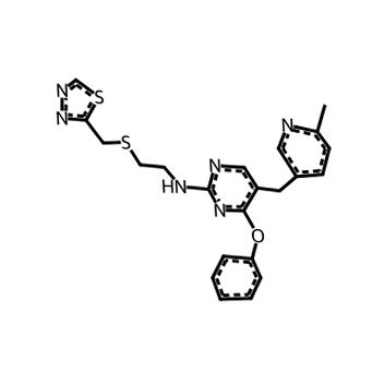 Cc1ccc(Cc2cnc(NCCSCc3nncs3)nc2Oc2ccccc2)cn1